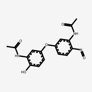 CC(=O)Nc1cc(Oc2ccc(N=O)c(NC(C)=O)c2)ccc1O